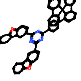 c1ccc2c(c1)-c1ccccc1C21c2ccccc2-c2cccc(-c3ccc(-c4nc(-c5ccc6oc7ccccc7c6c5)nc(-c5ccc6oc7ccccc7c6c5)n4)cc3)c21